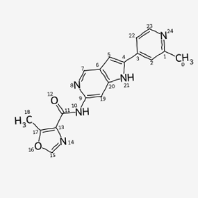 Cc1cc(-c2cc3cnc(NC(=O)c4ncoc4C)cc3[nH]2)ccn1